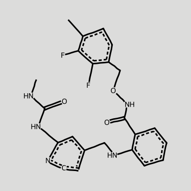 CNC(=O)Nc1cc(CNc2ccccc2C(=O)NOCc2ccc(C)c(F)c2F)ccn1